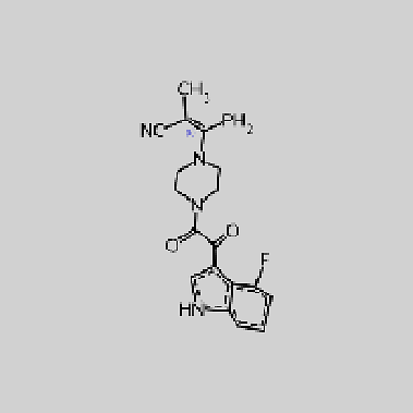 C/C(C#N)=C(\P)N1CCN(C(=O)C(=O)c2c[nH]c3cccc(F)c23)CC1